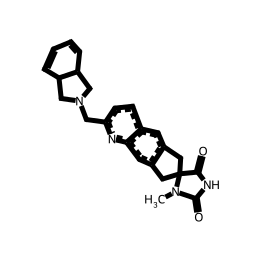 CN1C(=O)NC(=O)C12Cc1cc3ccc(CN4CC5C=CC=CC5C4)nc3cc1C2